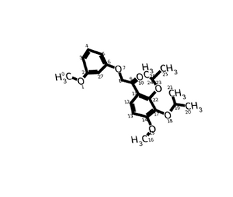 COc1cccc(OCC(=O)c2ccc(OC)c(OC(C)C)c2OC(C)C)c1